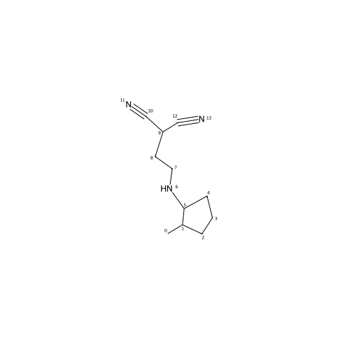 CC1CCCC1NCCC(C#N)C#N